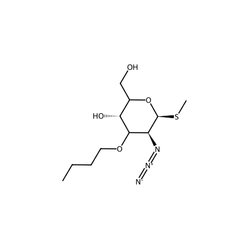 CCCCOC1[C@H](O)C(CO)O[C@@H](SC)[C@H]1N=[N+]=[N-]